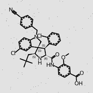 COc1cc(C(=O)O)ccc1NC(=O)[C@@H]1N[C@@H](CC(C)(C)C)[C@@]2(CN(Cc3ccc(C#N)cc3)c3ccc(Cl)cc32)[C@H]1c1ccccc1Cl